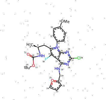 COc1ccc(-n2c(C[C@H](C)NC(=O)OC(C)(C)C)c(F)c3c(NCc4ccco4)nc(Cl)nc32)cc1